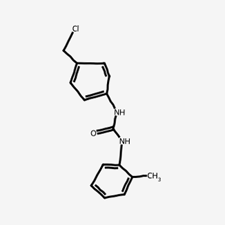 Cc1ccccc1NC(=O)Nc1ccc(CCl)cc1